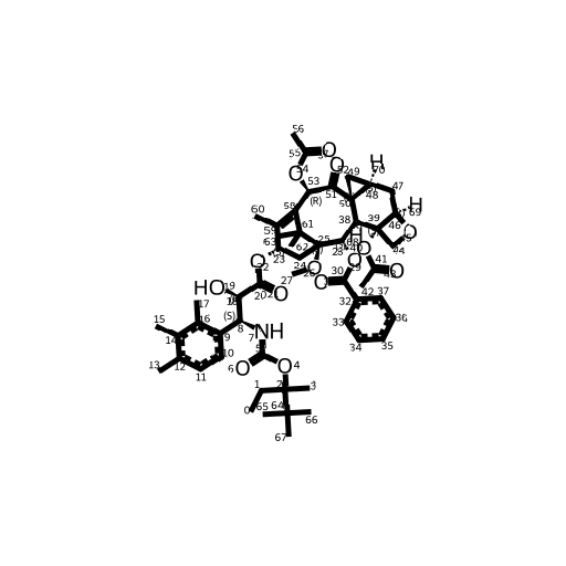 CCC(C)(OC(=O)N[C@@H](c1ccc(C)c(C)c1C)[C@@H](O)C(=O)O[C@H]1C[C@@]2(OC)[C@@H](OC(=O)c3ccccc3)[C@@H]3[C@]4(OC(C)=O)CO[C@@H]4C[C@@H]4C[C@@]43C(=O)[C@H](OC(C)=O)C(=C1C)C2(C)C)C(C)(C)C